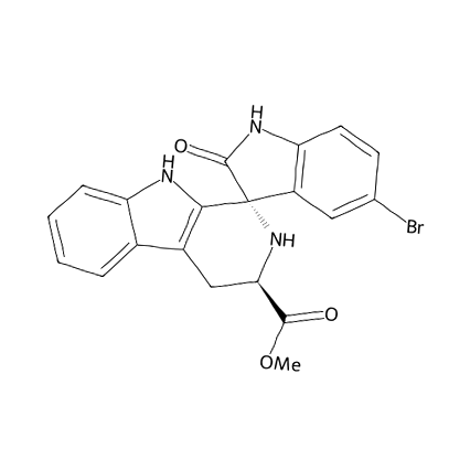 COC(=O)[C@H]1Cc2c([nH]c3ccccc23)[C@@]2(N1)C(=O)Nc1ccc(Br)cc12